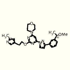 CO[C@H](C)c1cccc(-c2ccn(-c3cc(N4CCOCC4)nc(OCCc4cnn(C)c4)n3)n2)c1